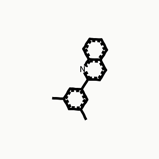 Cc1cc(C)cc(-c2ccc3ccccc3n2)c1